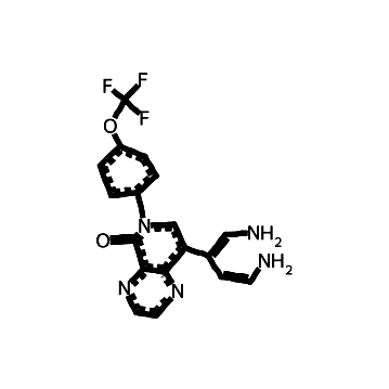 N/C=C\C(=C/N)c1cn(-c2ccc(OC(F)(F)F)cc2)c(=O)c2nccnc12